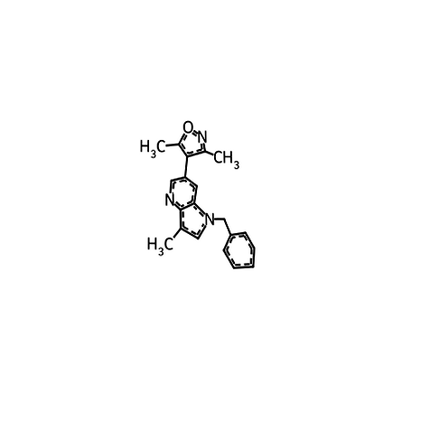 Cc1noc(C)c1-c1cnc2c(C)cn(Cc3ccccc3)c2c1